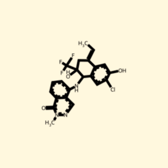 C/C=C1\CC(O)(C(F)(F)F)C(Nc2cccc3c(=O)n(C)ncc23)c2cc(Cl)c(O)cc21